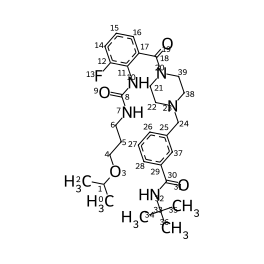 CC(C)OCCCNC(=O)Nc1c(F)cccc1C(=O)N1CCN(Cc2cccc(C(=O)NC(C)(C)C)c2)CC1